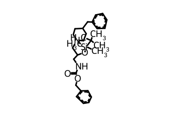 CC(C)(C)[Si](C)(C)OC(CNC(=O)OCc1ccccc1)CN1CCC(Cc2ccccc2)CC1